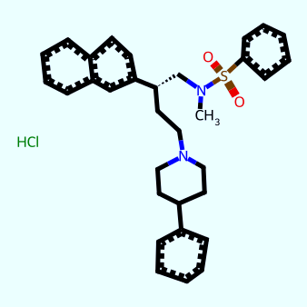 CN(C[C@H](CCN1CCC(c2ccccc2)CC1)c1ccc2ccccc2c1)S(=O)(=O)c1ccccc1.Cl